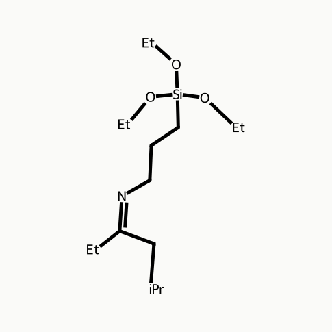 CCO[Si](CCCN=C(CC)CC(C)C)(OCC)OCC